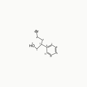 OCC(CCBr)c1ccccc1